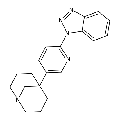 c1ccc2c(c1)nnn2-c1ccc(C23CCCN(CCC2)C3)cn1